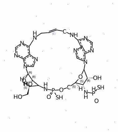 O=[PH](S)N[C@@H]1[C@H]2COP(=O)(S)NC3[C@@H](O)[C@@H](O[C@@H]3CO)n3cnc4c(ncnc43)NC/C=C/CNc3ncnc4c3ncn4C(O2)[C@@H]1O